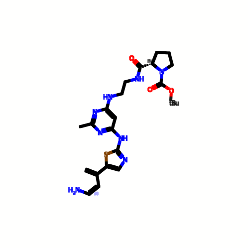 C=C(/C=C\N)c1cnc(Nc2cc(NCCNC(=O)[C@@H]3CCCN3C(=O)OC(C)(C)C)nc(C)n2)s1